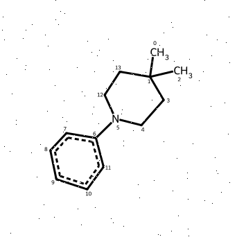 CC1(C)CCN(c2ccccc2)CC1